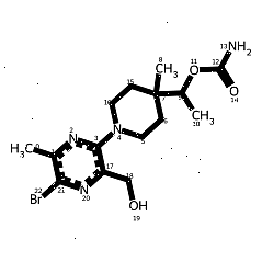 Cc1nc(N2CCC(C)(C(C)OC(N)=O)CC2)c(CO)nc1Br